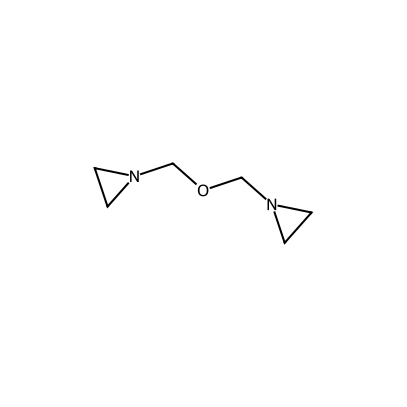 C1CN1COCN1CC1